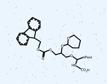 CCCCCC(NC(=O)O)OCC(COC(=O)OCC1c2ccccc2-c2ccccc21)OC1CCCCO1